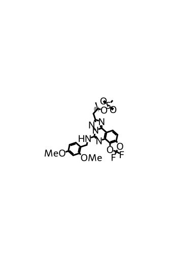 COc1ccc(CNc2nc3c4c(ccc3c3nc(C[C@@H](C)OS(C)(=O)=O)nn23)OC(F)(F)O4)c(OC)c1